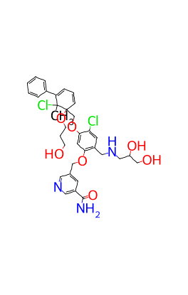 CC1(Cl)C(c2ccccc2)=CC=CC1(COc1cc(OCc2cncc(C(N)=O)c2)c(CNCC(O)CO)cc1Cl)OCCCO